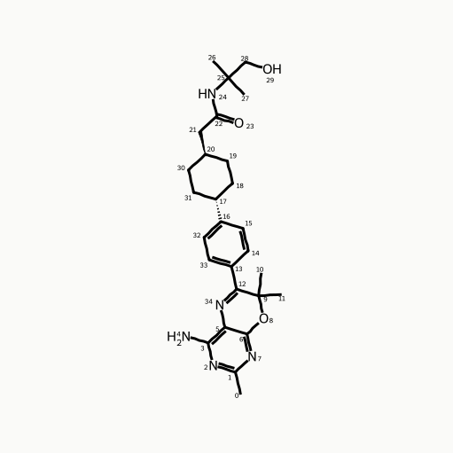 Cc1nc(N)c2c(n1)OC(C)(C)C(c1ccc([C@H]3CC[C@H](CC(=O)NC(C)(C)CO)CC3)cc1)=N2